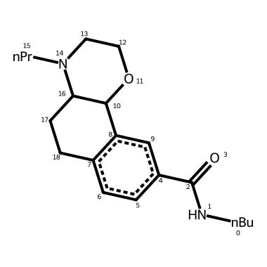 CCCCNC(=O)c1ccc2c(c1)C1OCCN(CCC)C1CC2